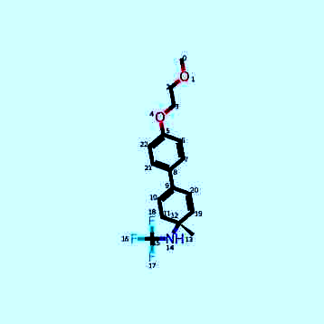 COCCOc1ccc(C2=CC[C@@](C)(NC(F)(F)F)C=C2)cc1